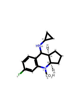 O=C(O)N1c2cc(F)ccc2C(NC2CC2)[C@H]2CCC[C@H]21